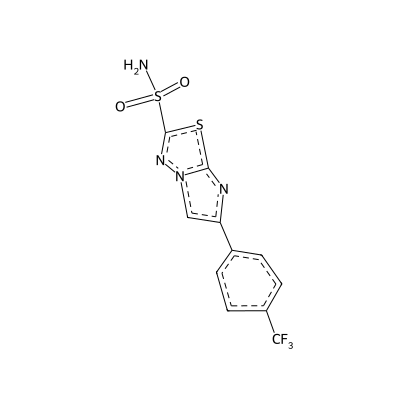 NS(=O)(=O)c1nn2cc(-c3ccc(C(F)(F)F)cc3)nc2s1